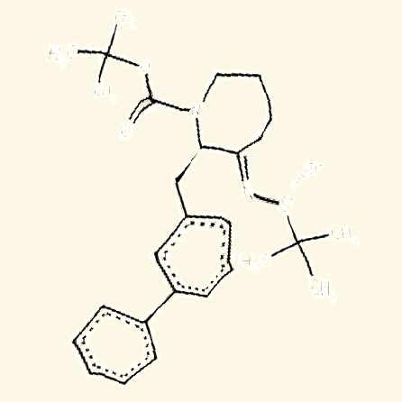 CC(C)(C)OC(=O)N1CCCC(=N[S@+]([O-])C(C)(C)C)[C@H]1Cc1cccc(-c2ccccc2)c1